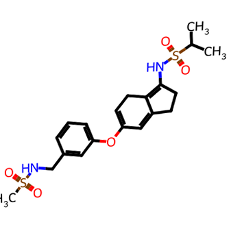 CC(C)S(=O)(=O)NC1=C2CC=C(Oc3cccc(CNS(C)(=O)=O)c3)C=C2CC1